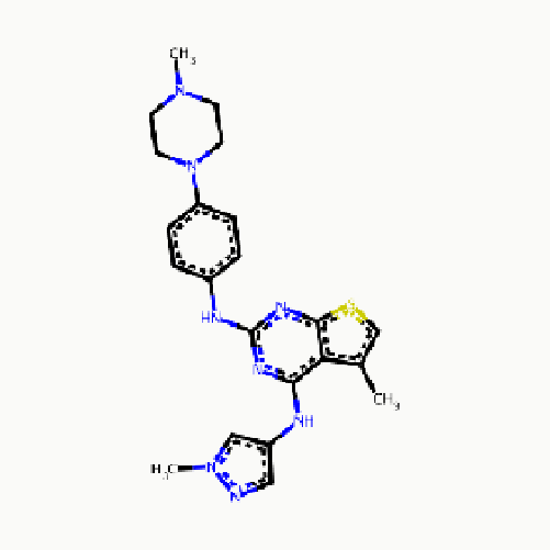 Cc1csc2nc(Nc3ccc(N4CCN(C)CC4)cc3)nc(Nc3cnn(C)c3)c12